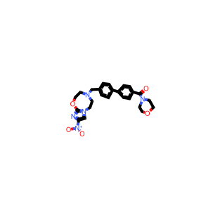 O=C(c1ccc(-c2ccc(CN3CCOc4nc([N+](=O)[O-])cn4CC3)cc2)cc1)N1CCOCC1